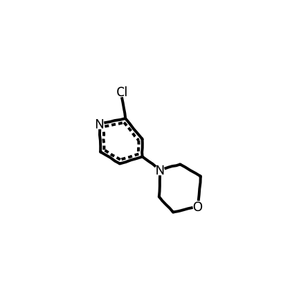 Clc1cc(N2CCOCC2)ccn1